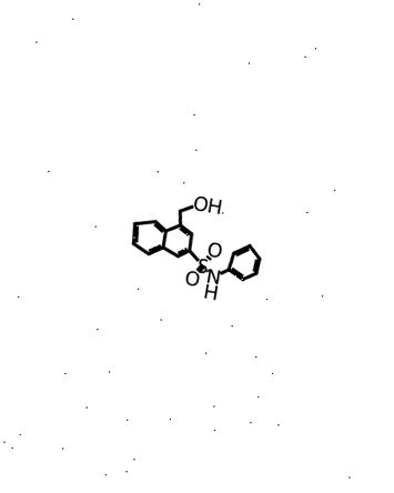 O=S(=O)(Nc1ccccc1)c1cc(CO)c2ccccc2c1